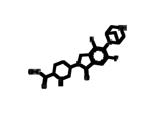 O=CC(=O)C1CCC(N2Cc3c(cc(F)c(N4C5CNCC4C5)c3F)C2=O)CN1